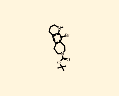 CN1CCCc2cc3c(c(Br)c21)CCN(C(=O)OC(C)(C)C)CC3